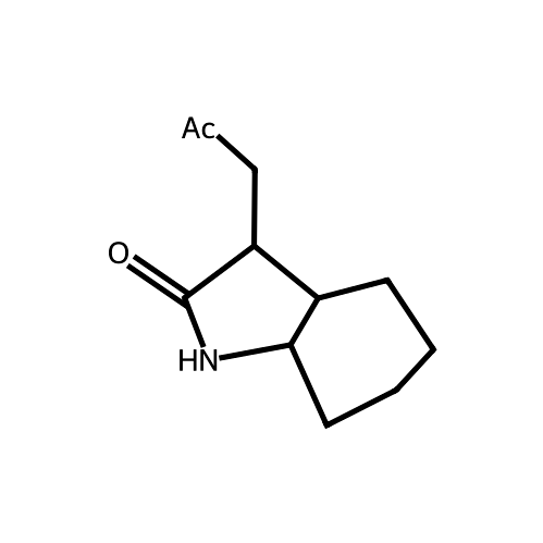 CC(=O)CC1C(=O)NC2CCCCC21